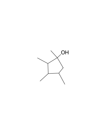 CC1CC(C)(O)C(C)C1C